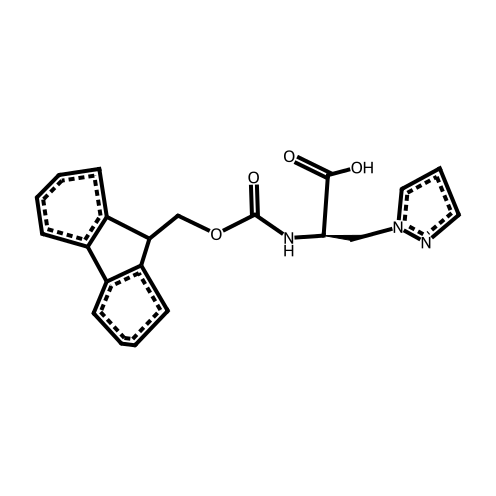 O=C(N[C@H](Cn1cccn1)C(=O)O)OCC1c2ccccc2-c2ccccc21